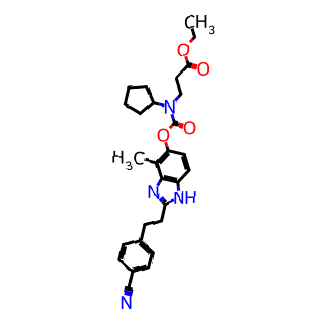 CCOC(=O)CCN(C(=O)Oc1ccc2[nH]c(CCc3ccc(C#N)cc3)nc2c1C)C1CCCC1